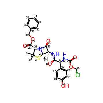 CC1(C)S[C@@H]2[C@H](NC(=O)C(NC(=O)OCCl)c3ccc(O)cc3)C(=O)N2[C@H]1C(=O)OCc1ccccc1